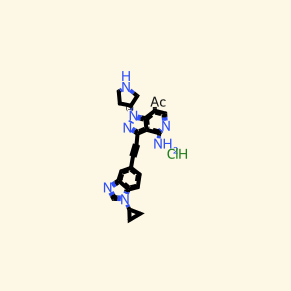 CC(=O)c1cnc(N)c2c(C#Cc3ccc4c(c3)ncn4C3CC3)nn([C@H]3CCNC3)c12.Cl